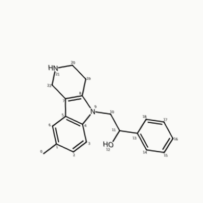 Cc1ccc2c(c1)c1c(n2CC(O)c2ccccc2)CCNC1